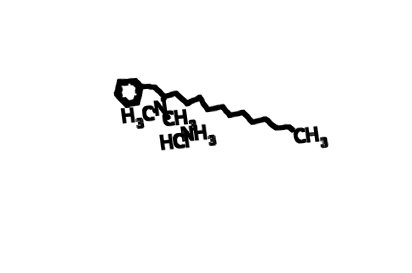 CCCCCCCCCCCCC(Cc1ccccc1)N(C)C.Cl.N